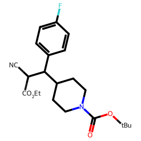 CCOC(=O)C(C#N)C(c1ccc(F)cc1)C1CCN(C(=O)OC(C)(C)C)CC1